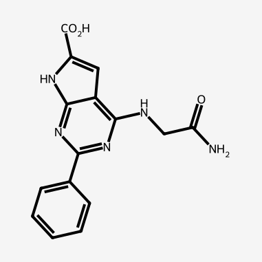 NC(=O)CNc1nc(-c2ccccc2)nc2[nH]c(C(=O)O)cc12